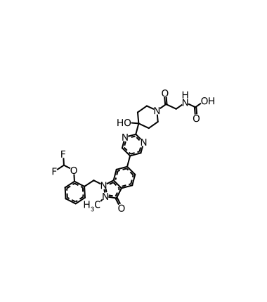 Cn1c(=O)c2ccc(-c3cnc(C4(O)CCN(C(=O)CNC(=O)O)CC4)nc3)cc2n1Cc1ccccc1OC(F)F